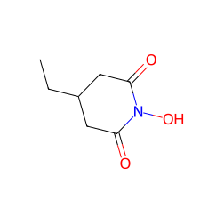 CCC1CC(=O)N(O)C(=O)C1